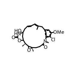 COc1cc2cc(c1Cl)N(C)C(=O)CC[C@]1(C)OC1[C@@H](C)C1C[C@](O)(C/C=C/C=C(\C)C2)NC(=O)O1